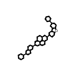 c1ccc(-c2ccc3cc(-c4cc5ccc6cc(-c7ccc8oc9ccc(-c%10ccccc%10)cc9c8c7)cc7ccc(c4)c5c67)ccc3c2)cc1